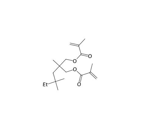 C=C(C)C(=O)OCC(C)(COC(=O)C(=C)C)CC(C)(C)CC